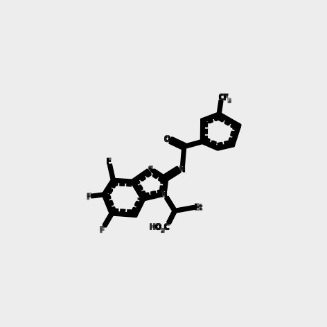 CCC(C(=O)O)n1/c(=N/C(=O)c2cccc(C(F)(F)F)c2)sc2c(F)c(F)c(F)cc21